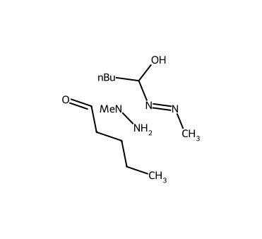 CCCCC(O)N=NC.CCCCC=O.CNN